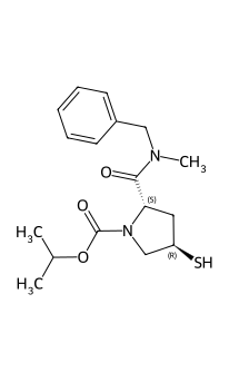 CC(C)OC(=O)N1C[C@H](S)C[C@H]1C(=O)N(C)Cc1ccccc1